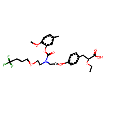 CCOC(Cc1ccc(OCCN(CCOCCCC(F)(F)F)C(=O)Oc2cc(C)ccc2OC)cc1)C(=O)O